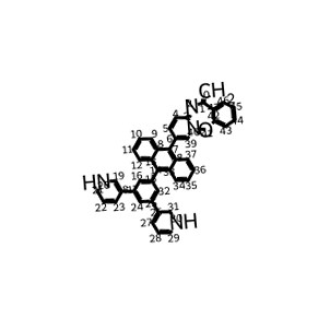 C=C1N=C2C=CC(c3c4ccccc4c(-c4cc(C5=CNCC=C5)cc(C5=CC=CNC5)c4)c4ccccc34)=CN2Oc2ccccc21